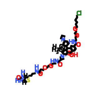 C[Si]1(C)C2=CC(=[N+]3CC(C(=O)NCCOCCOCCC(=O)NCCCC[C@@H]4SC[C@@H]5NC(=O)N[C@@H]54)C3)C=CC2=C(c2cc(C(=O)NCCOCCOCCCCCCCl)ccc2C(=O)O)c2ccc(N3CCC3)cc21